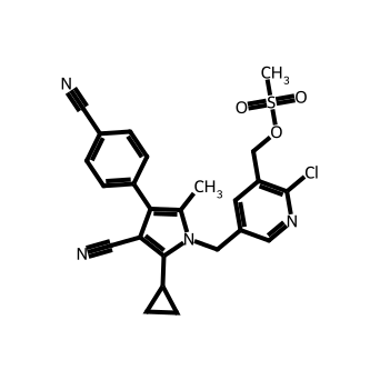 Cc1c(-c2ccc(C#N)cc2)c(C#N)c(C2CC2)n1Cc1cnc(Cl)c(COS(C)(=O)=O)c1